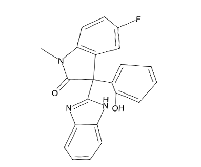 CN1C(=O)C(c2nc3ccccc3[nH]2)(c2ccccc2O)c2cc(F)ccc21